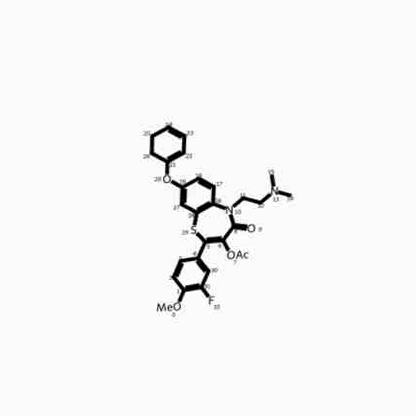 COc1ccc(C2=C(OC(C)=O)C(=O)N(CCN(C)C)c3ccc(OC4=CC=CCC4)cc3S2)cc1F